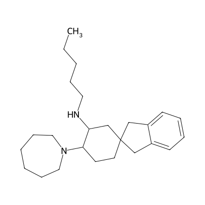 CCCCCNC1CC2(CCC1N1CCCCCC1)Cc1ccccc1C2